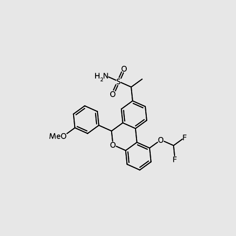 COc1cccc(C2Oc3cccc(OC(F)F)c3-c3ccc(C(C)S(N)(=O)=O)cc32)c1